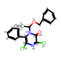 O=CC(OCc1ccccc1)n1c(-c2ccccc2)c(Cl)nc(Cl)c1=O